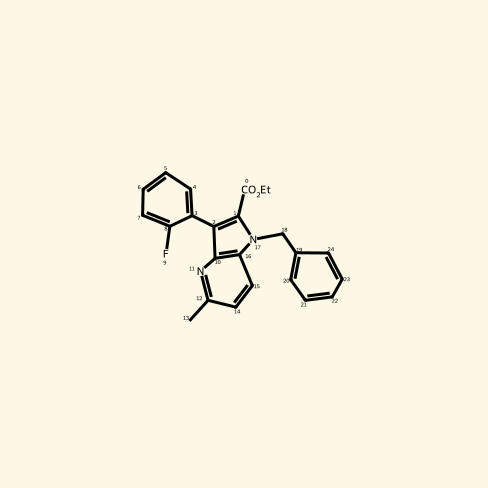 CCOC(=O)c1c(-c2ccccc2F)c2nc(C)ccc2n1Cc1ccccc1